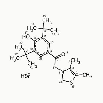 Br.CC1=C(C)N(CC(=O)c2cc(C(C)(C)C)c(O)c(C(C)(C)C)c2)CS1